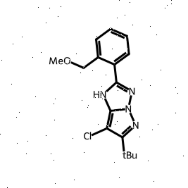 COCc1ccccc1-c1nn2nc(C(C)(C)C)c(Cl)c2[nH]1